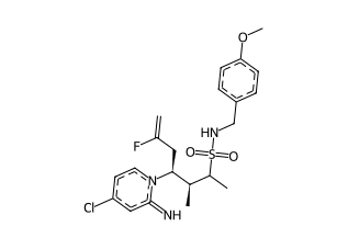 C=C(F)C[C@@H]([C@H](C)C(C)S(=O)(=O)NCc1ccc(OC)cc1)n1ccc(Cl)cc1=N